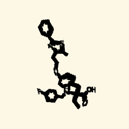 CCC(Cc1ccc(OCCc2nc(-c3ccccc3)sc2C)cc1)(NCc1ccc(F)cc1)C(=O)O